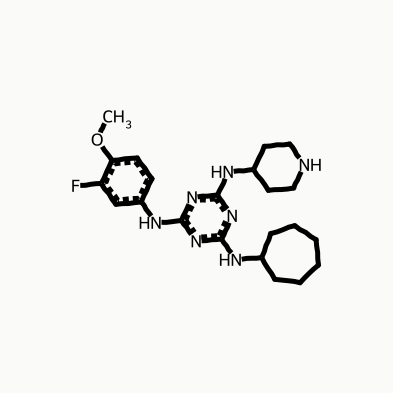 COc1ccc(Nc2nc(NC3CCCCCC3)nc(NC3CCNCC3)n2)cc1F